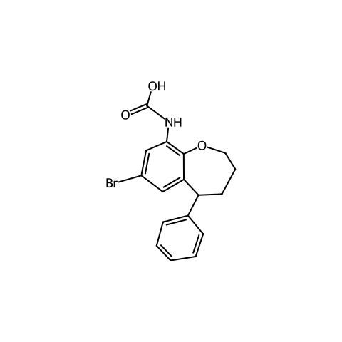 O=C(O)Nc1cc(Br)cc2c1OCCCC2c1ccccc1